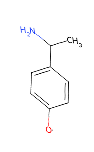 CC(N)c1ccc([O])cc1